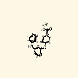 CC(C)OC(=O)N1CCC(Oc2cc(Nc3ccncc3)ncn2)CC1